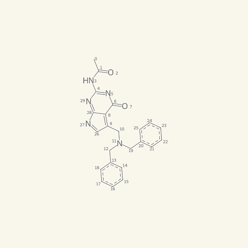 CC(=O)NC1=NC(=O)C2=C(CN(Cc3ccccc3)Cc3ccccc3)C=NC2=N1